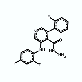 NNC(=O)c1c(Nc2ccc(I)cc2F)cncc1-c1ccccc1F